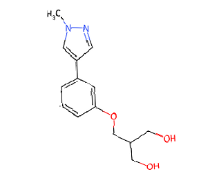 Cn1cc(-c2c[c]cc(OCC(CO)CO)c2)cn1